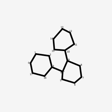 C1CCC([C]2CCCCC2C2CCCCC2)CC1